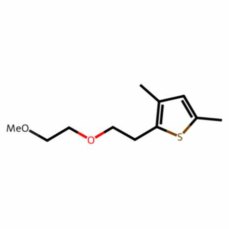 COCCOCCc1sc(C)cc1C